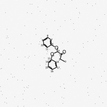 CCC(=O)C(Oc1ccccc1)Oc1ccccc1